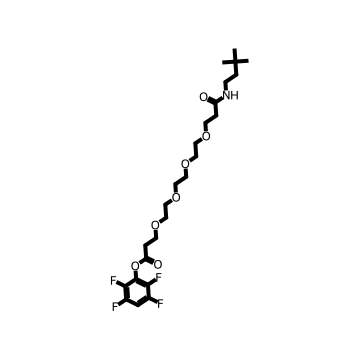 CC(C)(C)CCNC(=O)CCOCCOCCOCCOCCC(=O)Oc1c(F)c(F)cc(F)c1F